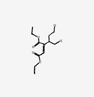 CCOC(=O)C=C(C(=O)OCC)C(CCl)CCCl